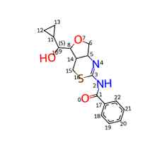 O=C(NC1=NC2COC([C@@H](O)C3CC3)C2CS1)c1ccccc1